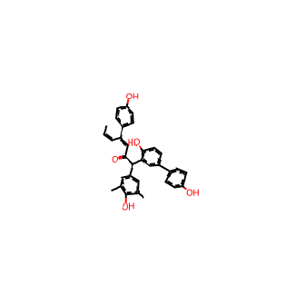 C/C=C\C(=C/C(=O)C(c1cc(C)c(O)c(C)c1)c1cc(-c2ccc(O)cc2)ccc1O)c1ccc(O)cc1